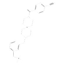 CC1(C)Cc2cccc(CN3CCC4(CC3)CCN(C(=O)c3ccc(C#N)nc3)CC4)c2O1